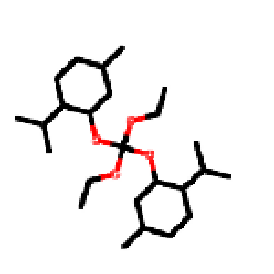 CCOC(OCC)(OC1CC(C)CCC1C(C)C)OC1CC(C)CCC1C(C)C